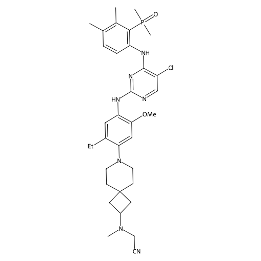 CCc1cc(Nc2ncc(Cl)c(Nc3ccc(C)c(C)c3P(C)(C)=O)n2)c(OC)cc1N1CCC2(CC1)CC(N(C)CC#N)C2